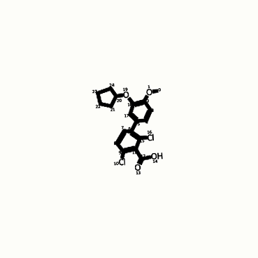 COc1ccc(-c2ccc(Cl)c(C(=O)O)c2Cl)cc1OC1CCCC1